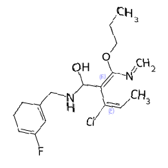 C=N/C(OCCC)=C(\C(Cl)=C/C)C(O)NCC1=CC(F)=CCC1